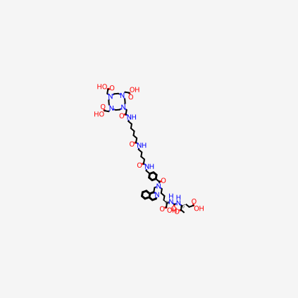 CC(=O)[C@@H](CCC(=O)O)NC(=O)N[C@H](CCCCN(Cc1nccc2ccccc12)C(=O)c1ccc(CNC(=O)CCCCNC(=O)CCCCCCNC(=O)CN2CCN(CC(=O)O)CCN(CC(=O)O)CCN(CC(=O)O)CC2)cc1)C(=O)O